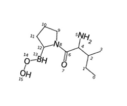 CCC(C)C(N)C(=O)N1CCCC1BOO